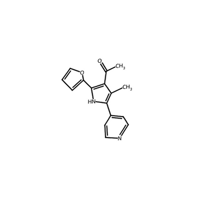 CC(=O)c1c(-c2ccco2)[nH]c(-c2ccncc2)c1C